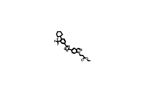 CCOC(=O)CCn1ncc2cc(-c3noc(-c4ccc(C5CCCCC5)c(C(F)(F)F)c4)n3)ccc21